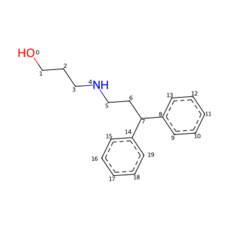 OCCCNCCC(c1ccccc1)c1ccccc1